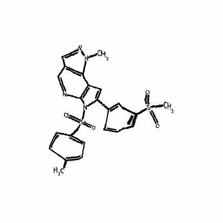 Cc1ccc(S(=O)(=O)n2c(-c3cccc(S(C)(=O)=O)c3)cc3c4c(cnc32)cnn4C)cc1